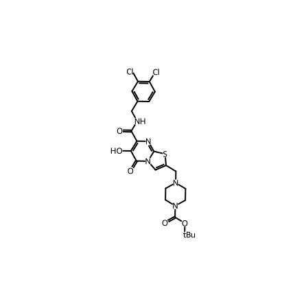 CC(C)(C)OC(=O)N1CCN(Cc2cn3c(=O)c(O)c(C(=O)NCc4ccc(Cl)c(Cl)c4)nc3s2)CC1